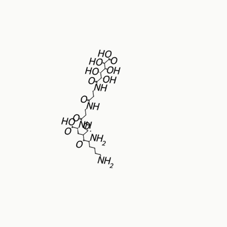 NCCCC[C@H](N)C(=O)C([C]=O)C[C@H](NC(=O)CCNC(=O)CCNC(=O)[C@@H](O)[C@H](O)[C@H](O)[C@@H](O)C(=O)O)C(=O)O